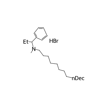 Br.CCCCCCCCCCCCCCCCCCN(C)C(CC)c1ccccc1